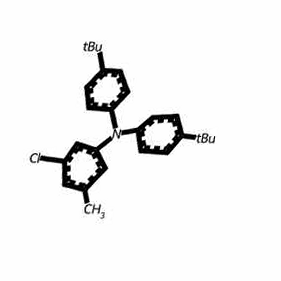 Cc1cc(Cl)cc(N(c2ccc(C(C)(C)C)cc2)c2ccc(C(C)(C)C)cc2)c1